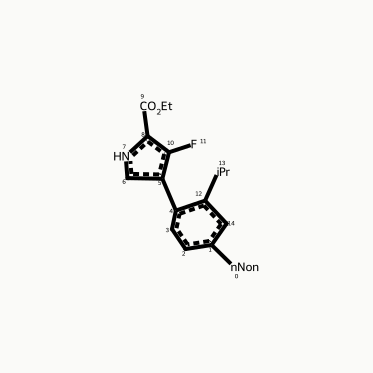 CCCCCCCCCc1ccc(-c2c[nH]c(C(=O)OCC)c2F)c(C(C)C)c1